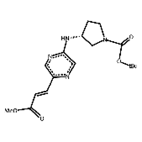 COC(=O)/C=C/c1cnc(N[C@@H]2CCN(C(=O)OC(C)(C)C)C2)cn1